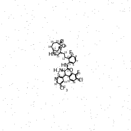 NC(C(=O)Nc1cccc(F)c1CCC1CNC2CCCS(=O)(=O)N1C2)C(c1cncc(C(F)(F)F)c1)c1ccc(Cl)c(F)c1